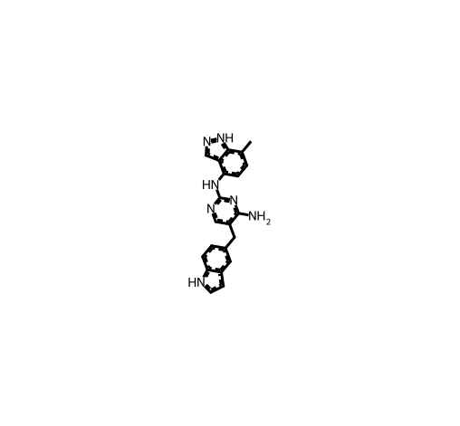 Cc1ccc(Nc2ncc(Cc3ccc4[nH]ccc4c3)c(N)n2)c2cn[nH]c12